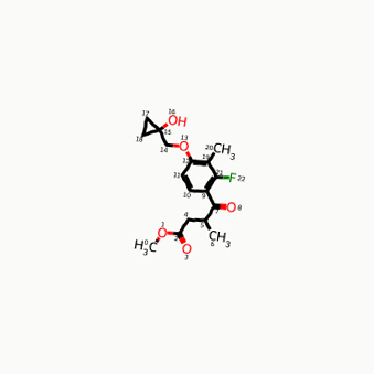 COC(=O)CC(C)C(=O)c1ccc(OCC2(O)CC2)c(C)c1F